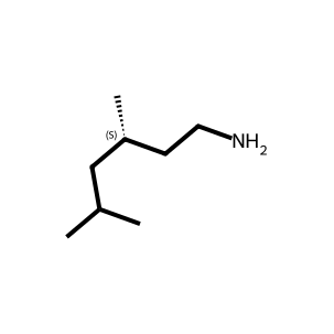 CC(C)C[C@H](C)CCN